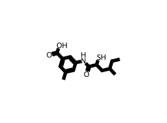 CCC(C)CC(S)C(=O)Nc1cc(C)cc(C(=O)O)c1